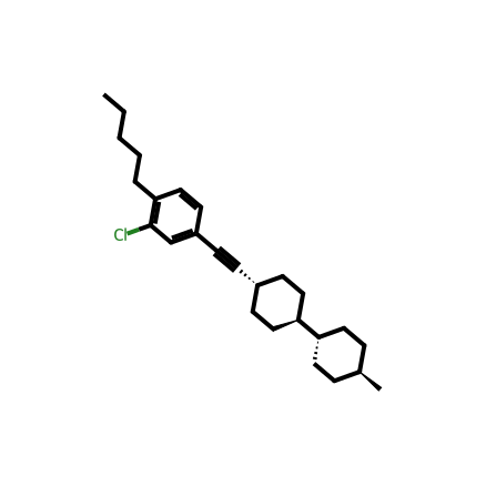 CCCCCc1ccc(C#C[C@H]2CC[C@H]([C@H]3CC[C@H](C)CC3)CC2)cc1Cl